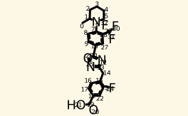 CC1CCCCN1c1ccc(-c2nc(Cc3ccc(C(=O)O)cc3F)no2)cc1C(F)(F)F